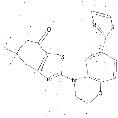 CC1(C)CC(=O)c2sc(N3CCOc4ccc(-c5nccs5)cc43)nc2C1